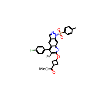 COC(=O)C1CC(Oc2nc3cc4c(cnn4S(=O)(=O)c4ccc(C)cc4)cc3c(-c3ccc(F)cc3)c2C(C)C)C1